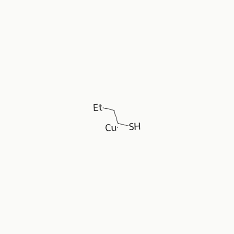 CCCCS.[Cu]